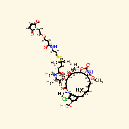 COc1cc2cc(c1Cl)N(C)C(=O)C[C@H](OC(=O)[C@H](C)N(C)C(=O)CCC(C)(C)SSCCNC(=O)CCOCCN1C(=O)C=CC1=O)[C@]1(C)O[C@H]1[C@H](C)[C@@H]1C[C@@](O)(NC(=O)O1)[C@H](OC)/C=C/C=C(\C)C2